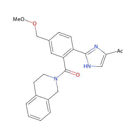 COOCc1ccc(-c2nc(C(C)=O)c[nH]2)c(C(=O)N2CCc3ccccc3C2)c1